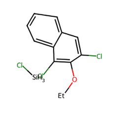 CCOc1c(Cl)cc2ccccc2c1Cl.[SiH3]Cl